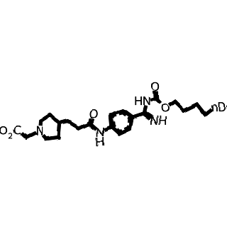 CCCCCCCCCCCCCCOC(=O)NC(=N)c1ccc(NC(=O)CCC2CCN(CC(=O)OCC)CC2)cc1